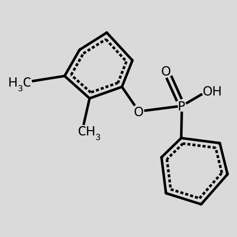 Cc1cccc(OP(=O)(O)c2ccccc2)c1C